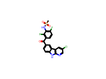 CS(=O)(=O)Nc1c(F)ccc(C(=O)c2ccc3[nH]c4ncc(Cl)cc4c3c2)c1F